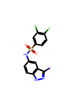 O=S(=O)(Nc1ccc2[nH]nc(I)c2c1)c1ccc(Cl)c(Cl)c1